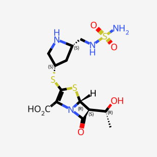 C[C@@H](O)[C@H]1C(=O)N2C(C(=O)O)=C(S[C@@H]3CN[C@H](CNS(N)(=O)=O)C3)S[C@H]12